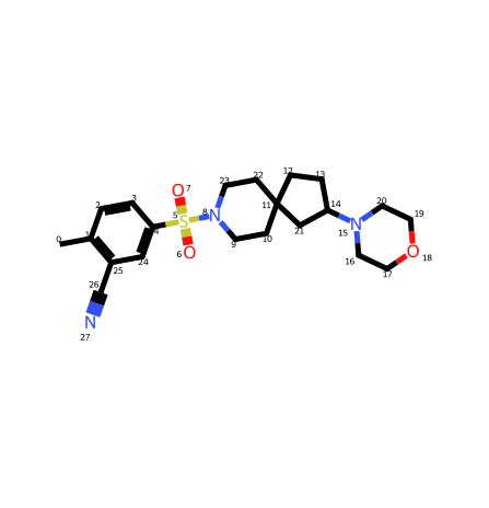 Cc1ccc(S(=O)(=O)N2CCC3(CCC(N4CCOCC4)C3)CC2)cc1C#N